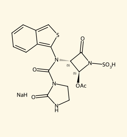 CC(=O)O[C@H]1[C@H](N(C(=O)N2CCNC2=O)c2scc3ccccc23)C(=O)N1S(=O)(=O)O.[NaH]